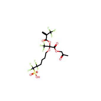 C=C(C(=O)OC(OCCCCC(F)(F)C(F)(F)S(=O)(=O)O)(C(=O)OCC(C)=O)C(F)(F)F)C(F)(F)F